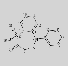 O=C1CCN(c2ccccc2)c2ccccc2S1(=O)=O